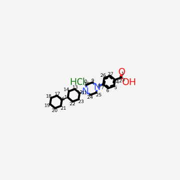 Cl.O=C(O)c1ccc(N2CCN([C@H]3CC[C@H](C4CCCCC4)CC3)CC2)cc1